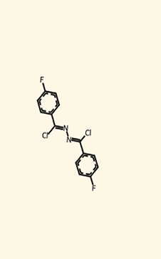 Fc1ccc(/C(Cl)=N/N=C(\Cl)c2ccc(F)cc2)cc1